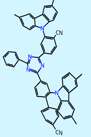 Cc1ccc2c(c1)c1cc(C)ccc1n2-c1cc(-c2nc(-c3ccccc3)nc(-c3ccc(-c4ccc(C#N)cc4)c(-n4c5ccc(C)cc5c5cc(C)ccc54)c3)n2)ccc1C#N